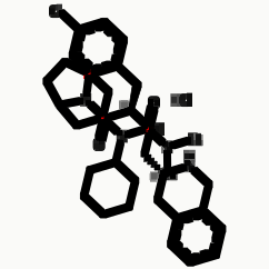 CCN(CC)C(=O)N(C1CCCCC1)C1CC2CCC(C1)N2C(=O)[C@@H](Cc1ccc(Cl)cc1)NC[C@H]1Cc2ccccc2CN1.Cl